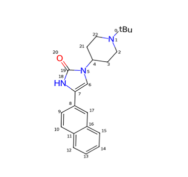 CC(C)(C)N1CCC(n2cc(-c3ccc4ccccc4c3)[nH]c2=O)CC1